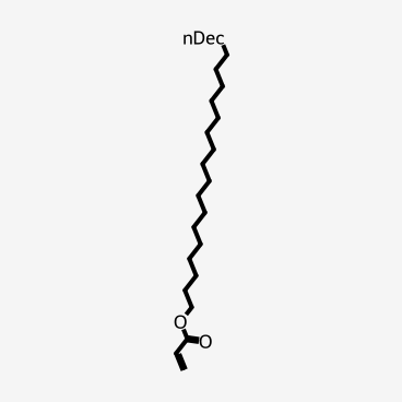 C=CC(=O)OCCCCCCCCCCCCCCCCCCCCCCCCCCC